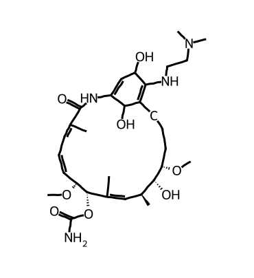 CO[C@H]1CCCC2=C(NCCN(C)C)C(O)C=C(NC(=O)/C(C)=C/C=C\[C@@H](OC)[C@@H](OC(N)=O)/C(C)=C/[C@H](C)[C@H]1O)C2O